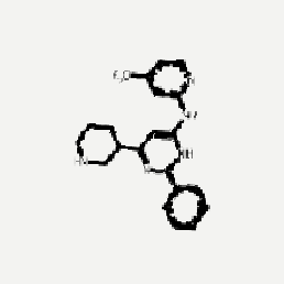 FC(F)(F)c1ccnc(NC2=CC(C3CCCNC3)=NC(c3ccccc3)N2)c1